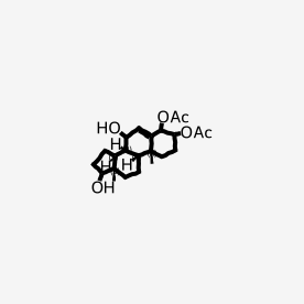 CC(=O)OC1CC[C@@]2(C)C(=CC(O)[C@@H]3[C@H]2CC[C@]2(C)C(O)CC[C@@H]32)C1OC(C)=O